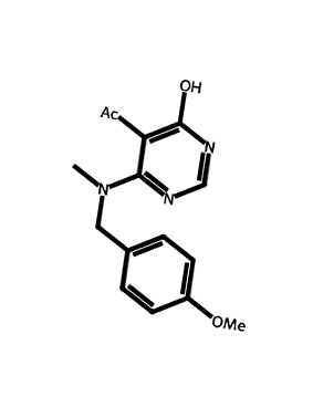 COc1ccc(CN(C)c2ncnc(O)c2C(C)=O)cc1